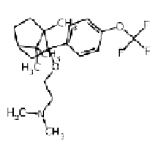 CN(C)CCOC1(c2ccc(OC(F)(F)F)cc2)CC2CCC1(C)C2(C)C